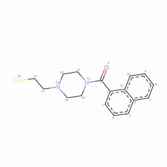 O=C(c1cccc2ccccc12)N1CCN(CCS)CC1